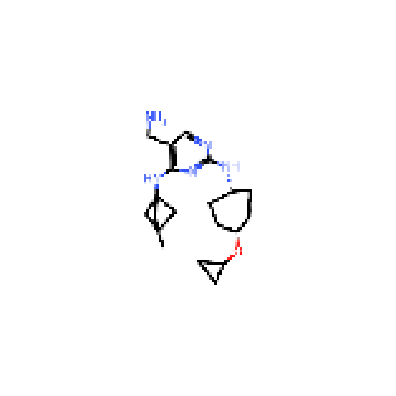 CC12CC(Nc3nc(N[C@H]4CC[C@H](OC5CC5)CC4)ncc3CN)(C1)C2